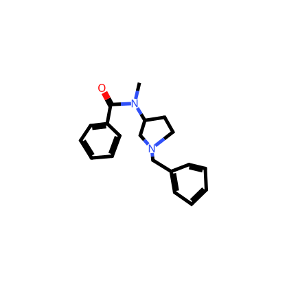 CN(C(=O)c1ccccc1)C1CCN(Cc2ccccc2)C1